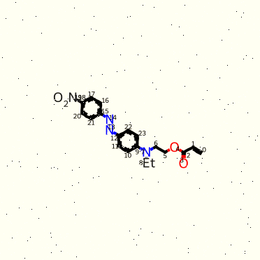 C=CC(=O)OCCN(CC)c1ccc(/N=N/c2ccc([N+](=O)[O-])cc2)cc1